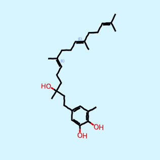 CC(C)=CCC/C(C)=C/CC/C(C)=C/CCC(C)(O)CCc1cc(C)c(O)c(O)c1